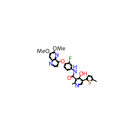 COc1cc2nccc(Oc3ccc(NC(=O)c4c(C)ncc(-c5ccc(C)s5)c4O)cc3F)c2nc1OC